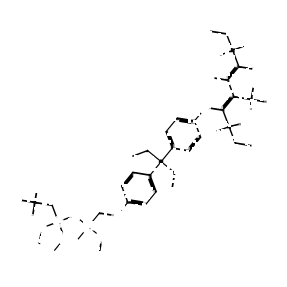 CCC(F)(F)C(F)=C(F)/C(=C(\Oc1ccc(C(CC)(CC)c2ccc(OC[Si](C)(OC)O[Si](CC(F)(F)F)(OC)OC)cc2)cc1)C(F)(F)CC)C(F)(F)F